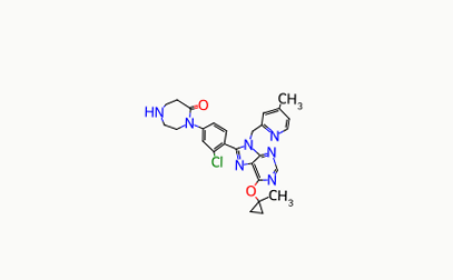 Cc1ccnc(Cn2c(-c3ccc(N4CCNCCC4=O)cc3Cl)nc3c(OC4(C)CC4)ncnc32)c1